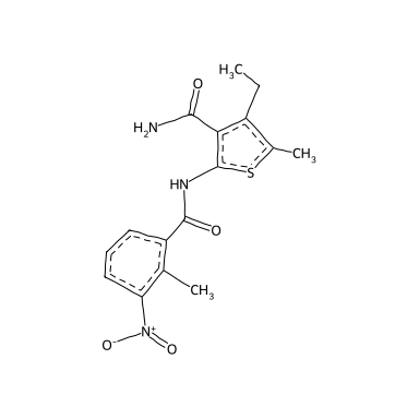 CCc1c(C)sc(NC(=O)c2cccc([N+](=O)[O-])c2C)c1C(N)=O